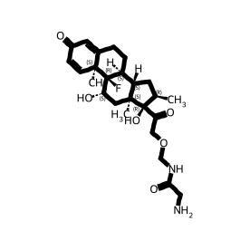 C[C@@H]1C[C@H]2[C@@H]3CCC4=CC(=O)C=C[C@]4(C)[C@@]3(F)[C@@H](O)C[C@]2(C)[C@@]1(O)C(=O)COCNC(=O)CN